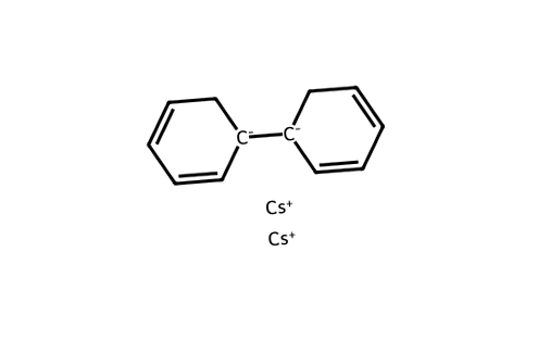 C1=CC[C-]([C-]2C=CC=CC2)C=C1.[Cs+].[Cs+]